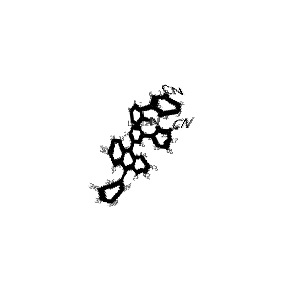 N#Cc1ccc2c(c1)c1ccccc1n2-c1c(C#N)cccc1-c1cccc(-c2c3ccccc3c(-c3ccccc3)c3ccccc23)c1